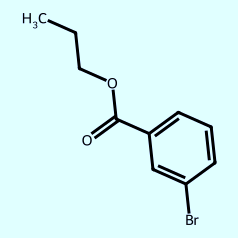 CCCOC(=O)c1cccc(Br)c1